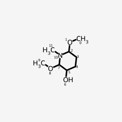 COC1CCC(O)C(OC)N1C